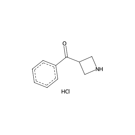 Cl.O=C(c1ccccc1)C1CNC1